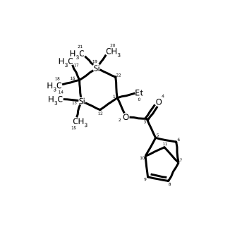 CCC1(OC(=O)C2CC3C=CC2C3)C[Si](C)(C)C(C)(C)[Si](C)(C)C1